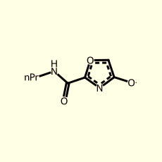 CCCNC(=O)c1nc([O])co1